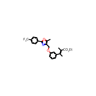 CCOC(=O)C(C)=C(C)c1cccc(OCc2nc(-c3ccc(C(F)(F)F)cc3)oc2C)c1